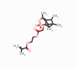 C=C(C)C(=O)OCCOC(=O)COC1(C)C2(C)CC3C(C2C)C1(C)OS3(=O)=O